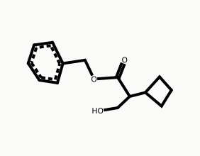 O=C(OCc1ccccc1)C(CO)C1CCC1